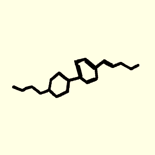 CCCC=Cc1ccc(C2CCC(CCCC)CC2)nc1